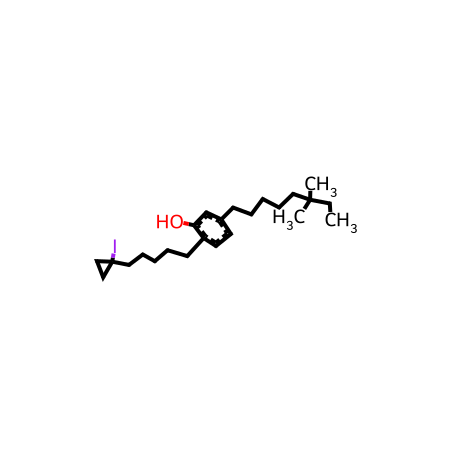 CCC(C)(C)CCCCCc1ccc(CCCCCC2(I)CC2)c(O)c1